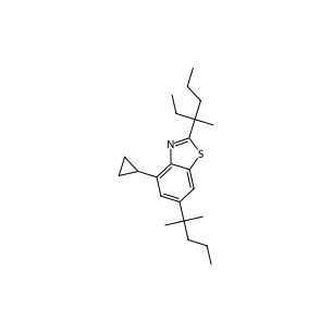 CCCC(C)(C)c1cc(C2CC2)c2nc(C(C)(CC)CCC)sc2c1